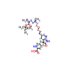 CN(CCOC/C=C/c1cnc2c(c1)[C@]1(CC3=C(CNC(C(=O)O)=C3)C1)C(=O)N2)CCN(C)C(=O)OC(C)(C)C